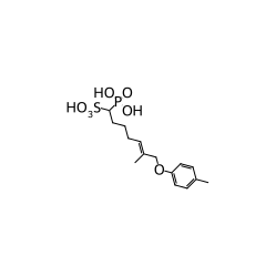 C/C(=C\CCCC(P(=O)(O)O)S(=O)(=O)O)COc1ccc(C)cc1